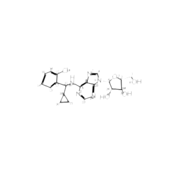 OC[C@H]1O[C@@H](n2cnc3c(NC(c4ccccc4Cl)C4CC4)ncnc32)[C@H](O)[C@@H]1O